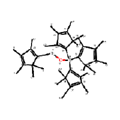 CC1=C(C)C(C)(C)[C]([Ti][O][Ti]([C]2=C(C)C(C)=C(C)C2(C)C)([C]2=C(C)C(C)=C(C)C2(C)C)[C]2=C(C)C(C)=C(C)C2(C)C)=C1C